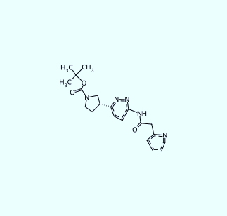 CC(C)(C)OC(=O)N1CC[C@@H](c2ccc(NC(=O)Cc3ccccn3)nn2)C1